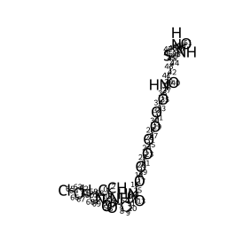 CC(C)[C@@H](NC(=O)c1cccc(C(=O)NCCOCCOCCOCCOCCOCCOCCOCCNC(=O)CCCC[C@@H]2SCC3NC(=O)NC32)c1)C(=O)N1CCC(c2ccc(Cl)cc2)CC1